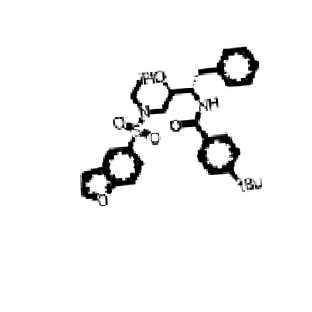 CC(C)CN(C[C@@H](O)[C@H](Cc1ccccc1)NC(=O)c1ccc(C(C)(C)C)cc1)S(=O)(=O)c1ccc2occc2c1